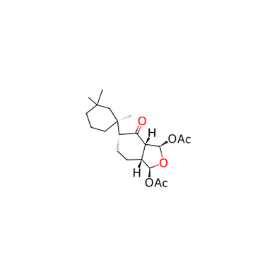 CC(=O)O[C@@H]1O[C@H](OC(C)=O)[C@H]2C(=O)[C@@H]([C@@]3(C)CCCC(C)(C)C3)CC[C@@H]12